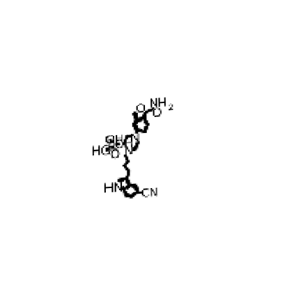 N#Cc1ccc2[nH]cc(CCCCN3CCN(c4ccc5c(C(N)=O)occ5c4)CC3)c2c1.O=P(O)(O)O